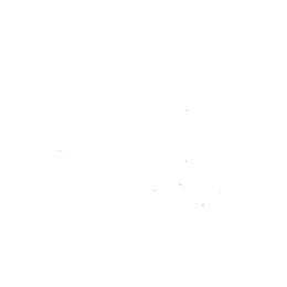 C[C@@H](O)[C@]1(O)CN(S(=O)(=O)c2ccc(F)cn2)C[C@@H]1Oc1ccc(C#N)c(F)c1